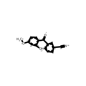 COc1ccc(C(=O)c2cccc(C#N)c2)c(O)c1